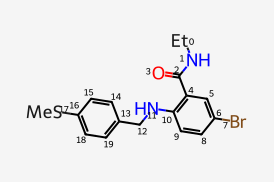 CCNC(=O)c1cc(Br)ccc1NCc1ccc(SC)cc1